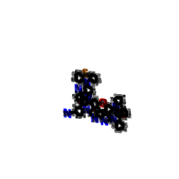 N#Cc1ccc2c(c1)c1cc(C#N)ccc1n2-c1cnc2c(c1)C1(c3ccc(-n4c5ccccc5c5ccccc54)cc3Oc3cc(-n4c5ccccc5c5cc(N6c7ccccc7Sc7ccccc76)ccc54)ccc31)c1cc(-n3c4ccccc4c4ccccc43)cnc1-2